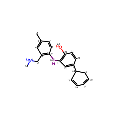 CNCc1cc(C)ccc1Pc1cc(C2C=CC=CC2)ccc1O